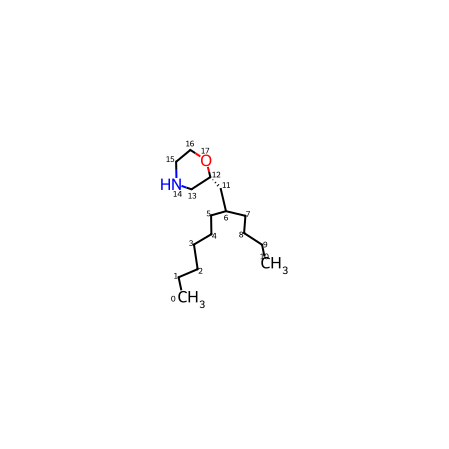 CCCCCCC(CCCC)C[C@@H]1CNCCO1